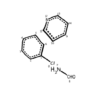 Clc1ccccc1.NC=O.c1ccncc1